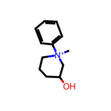 C[N+]1(c2ccccc2)CCCC(O)C1